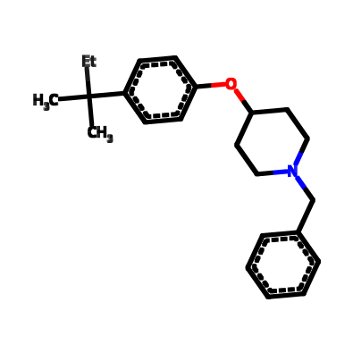 CCC(C)(C)c1ccc(OC2CCN(Cc3ccccc3)CC2)cc1